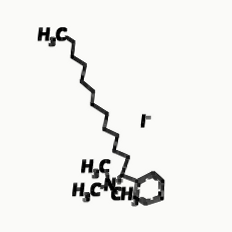 CCCCCCCCCCCCC(c1ccccc1)[N+](C)(C)C.[I-]